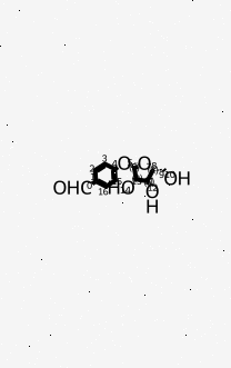 O=Cc1ccc(O[C@@H]2O[C@H](CO)[C@@H](O)[C@H]2O)cc1